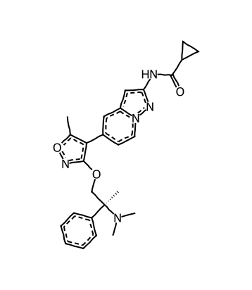 Cc1onc(OC[C@](C)(c2ccccc2)N(C)C)c1-c1ccn2nc(NC(=O)C3CC3)cc2c1